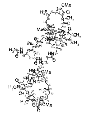 COc1cc2cc(c1Cl)N(C)C(=O)C[C@H](OC(=O)[C@H](C)N(C)C(=O)CCCCCNC(=O)CCC(CCC(=O)NCCCCCC(=O)N(C)[C@@H](C)C(=O)O[C@H]1CC(=O)N(C)c3cc(cc(OC)c3Cl)C/C(C)=C/C=C/[C@@H](OC)[C@]3(O)NC(=O)OC4C3[C@@]13CC4(C)O3)NC(=O)[C@H](CCCNC(N)=O)NC(=O)[C@@H](NC(=O)OCC1c3ccccc3-c3ccccc31)C(C)C)[C@]13OC1[C@H](C)C1OC(=O)N[C@](O)(C13)[C@H](OC)/C=C/C=C(\C)C2